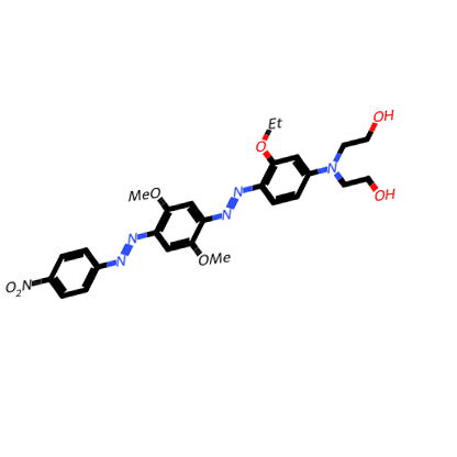 CCOc1cc(N(CCO)CCO)ccc1N=Nc1cc(OC)c(N=Nc2ccc([N+](=O)[O-])cc2)cc1OC